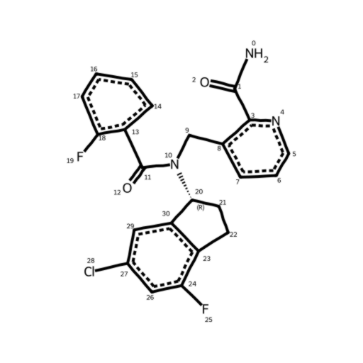 NC(=O)c1ncccc1CN(C(=O)c1ccccc1F)[C@@H]1CCc2c(F)cc(Cl)cc21